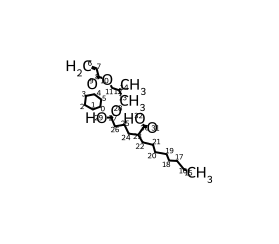 C1CCCCC1.C=CC(=O)OCC(C)C.CCCCCCCCC(CCCC(=O)O)C(=O)O